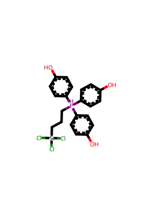 Oc1ccc([PH](CCC[Si](Cl)(Cl)Cl)(c2ccc(O)cc2)c2ccc(O)cc2)cc1